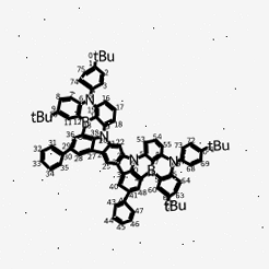 CC(C)(C)c1ccc(N2c3ccc(C(C)(C)C)cc3B3c4c2cccc4-n2c4cc5c(cc4c4cc(-c6ccccc6)cc3c42)c2cc(-c3ccccc3)cc3c2n5-c2cccc4c2B3c2cc(C(C)(C)C)ccc2N4c2ccc(C(C)(C)C)cc2)cc1